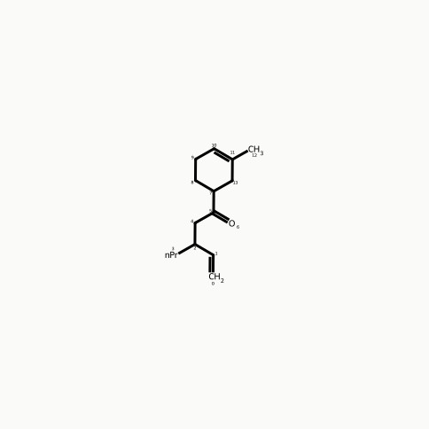 C=CC(CCC)CC(=O)C1CCC=C(C)C1